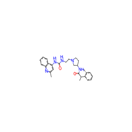 Cc1cc(NC(=O)NCCN2CCC(NC(=O)C(C)c3ccccc3C)C2)c2ccccc2n1